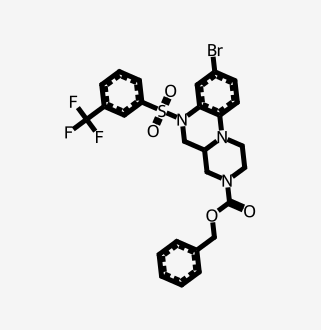 O=C(OCc1ccccc1)N1CCN2c3ccc(Br)cc3N(S(=O)(=O)c3cccc(C(F)(F)F)c3)CC2C1